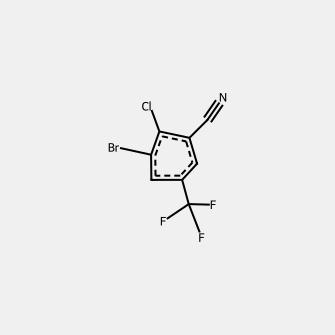 N#Cc1cc(C(F)(F)F)cc(Br)c1Cl